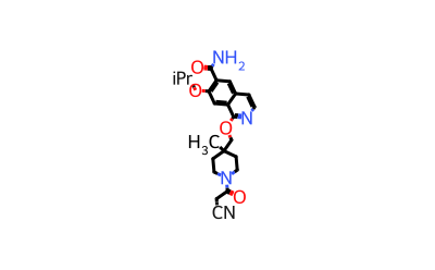 CC(C)Oc1cc2c(OCC3(C)CCN(C(=O)CC#N)CC3)nccc2cc1C(N)=O